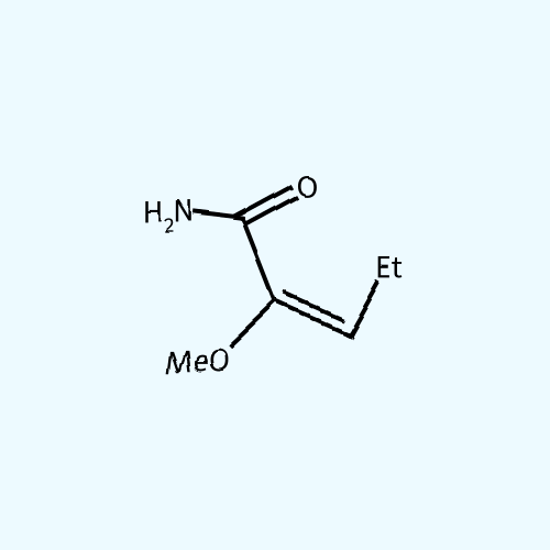 CCC=C(OC)C(N)=O